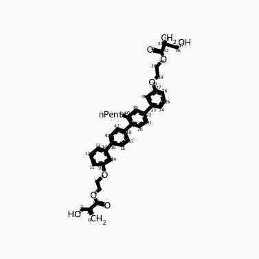 C=C(CO)C(=O)OCCOc1cccc(-c2ccc(-c3ccc(-c4cccc(OCCOC(=O)C(=C)CO)c4)cc3CCCCC)cc2)c1